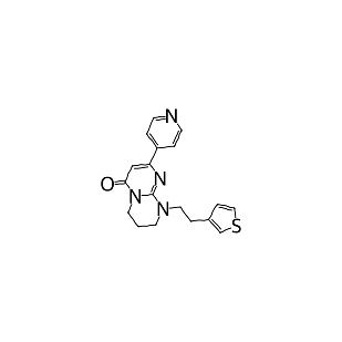 O=c1cc(-c2ccncc2)nc2n1CCCN2CCc1ccsc1